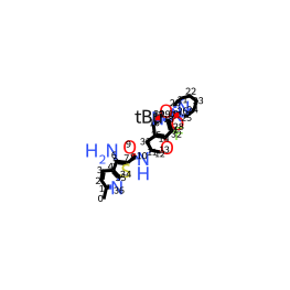 Cc1ccc2c(N)c(C(=O)N[C@H]3COc4c(cnc(N5CC6CCC(C5)N6C(=O)OC(C)(C)C)c4F)C3)sc2n1